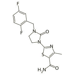 Cc1nc(N2CCN(Cc3cc(F)ccc3F)C2=O)sc1C(N)=O